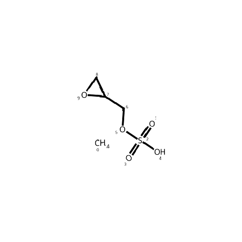 C.O=S(=O)(O)OCC1CO1